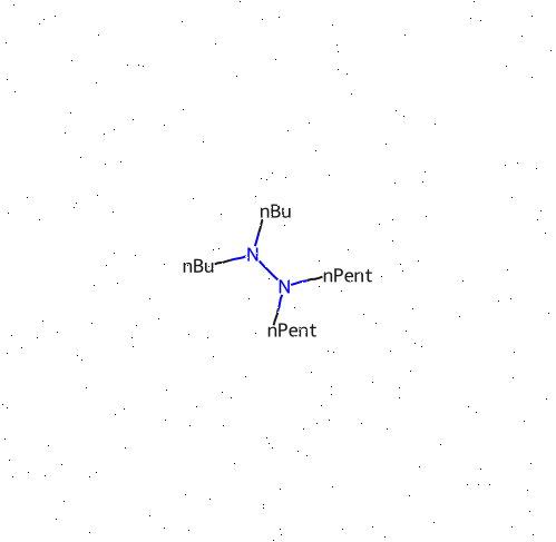 CCCCCN(CCCCC)N(CCCC)CCCC